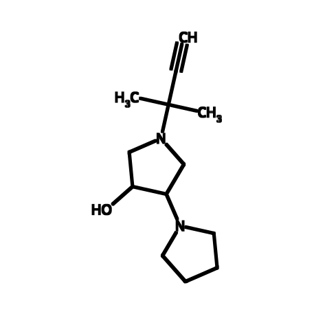 C#CC(C)(C)N1CC(O)C(N2CCCC2)C1